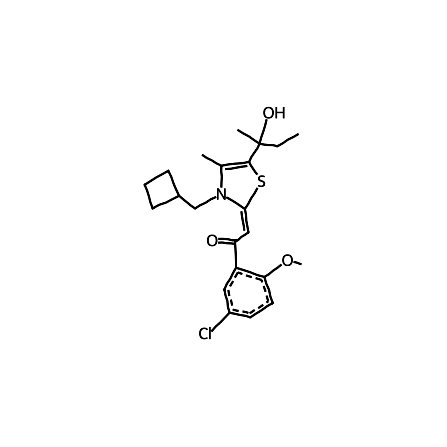 CCC(C)(O)C1=C(C)N(CC2CCC2)/C(=C\C(=O)c2cc(Cl)ccc2OC)S1